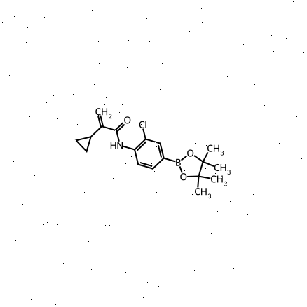 C=C(C(=O)Nc1ccc(B2OC(C)(C)C(C)(C)O2)cc1Cl)C1CC1